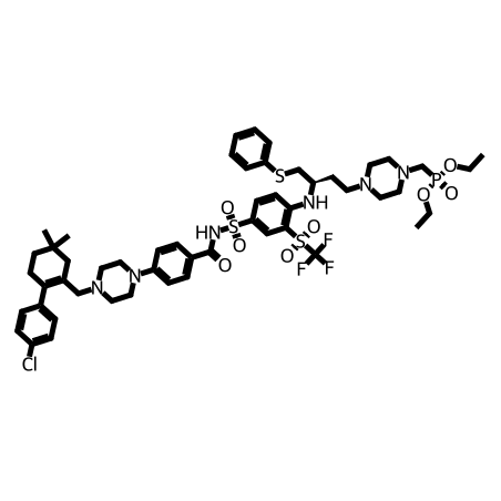 CCOP(=O)(CN1CCN(CC[C@H](CSc2ccccc2)Nc2ccc(S(=O)(=O)NC(=O)c3ccc(N4CCN(CC5=C(c6ccc(Cl)cc6)CCC(C)(C)C5)CC4)cc3)cc2S(=O)(=O)C(F)(F)F)CC1)OCC